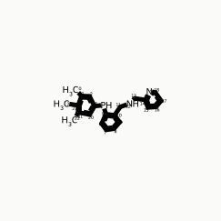 Cc1cc(Pc2ccccc2CNCc2ccccn2)cc(C)c1C